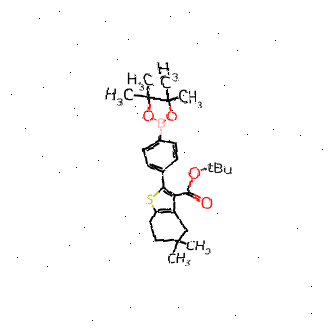 CC1(C)CCc2sc(-c3ccc(B4OC(C)(C)C(C)(C)O4)cc3)c(C(=O)OC(C)(C)C)c2C1